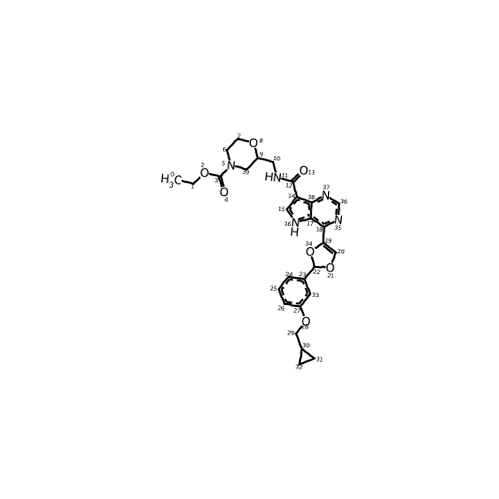 CCOC(=O)N1CCOC(CNC(=O)c2c[nH]c3c(C4=COC(c5cccc(OCC6CC6)c5)O4)ncnc23)C1